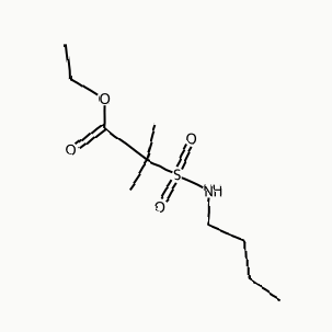 CCCCNS(=O)(=O)C(C)(C)C(=O)OCC